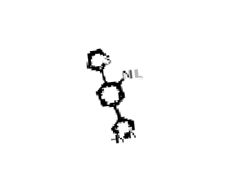 Nc1cc(-c2cn[nH]c2)ccc1-c1cccs1